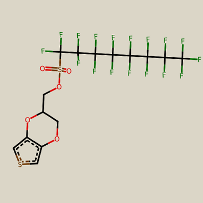 O=S(=O)(OCC1COc2cscc2O1)C(F)(F)C(F)(F)C(F)(F)C(F)(F)C(F)(F)C(F)(F)C(F)(F)C(F)(F)F